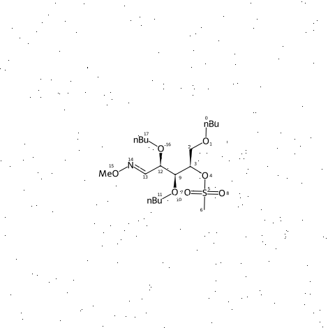 CCCCOC[C@@H](OS(C)(=O)=O)[C@@H](OCCCC)[C@@H](C=NOC)OCCCC